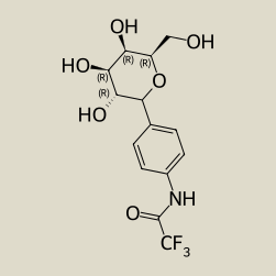 O=C(Nc1ccc(C2O[C@H](CO)[C@H](O)[C@H](O)[C@H]2O)cc1)C(F)(F)F